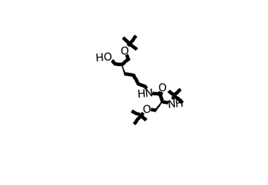 CC(C)(C)N[C@@H](COC(C)(C)C)C(=O)NCCCC[C@@H](CO)COC(C)(C)C